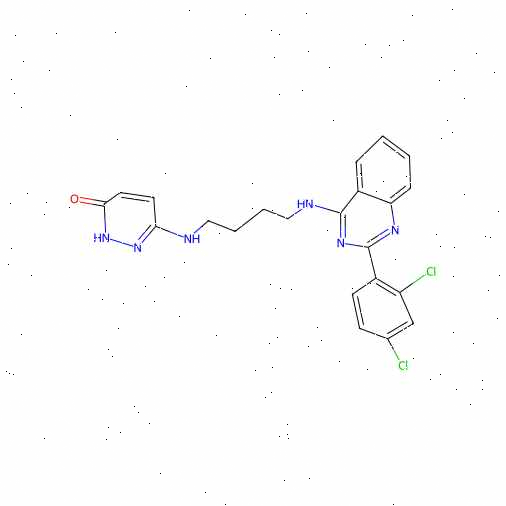 O=c1ccc(NCCCCNc2nc(-c3ccc(Cl)cc3Cl)nc3ccccc23)n[nH]1